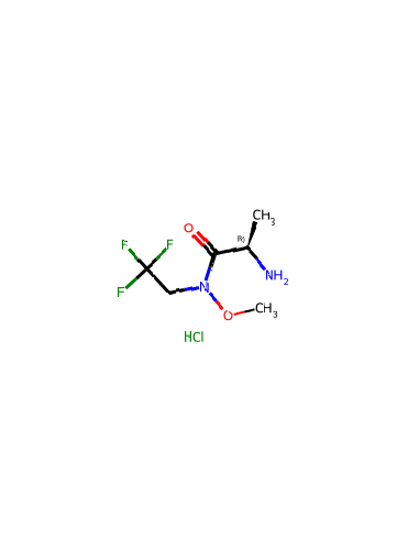 CON(CC(F)(F)F)C(=O)[C@@H](C)N.Cl